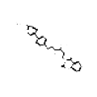 COc1ccc(-c2ccc(CC[C@@H](O)C(CCn3c(=O)[nH]c4ccccc4c3=O)C(=O)O)cc2)cn1